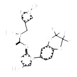 Cc1cn(-c2ccc3c(c2)OC(F)(F)C(F)(F)O3)/c(=N/C(=O)N(C)Cc2cnn(C)c2)s1